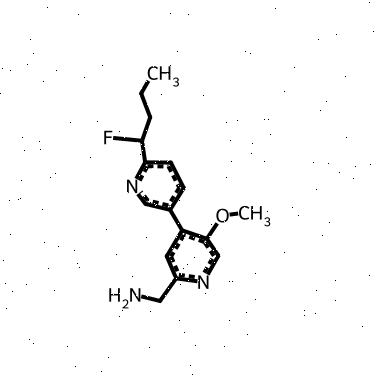 CCCC(F)c1ccc(-c2cc(CN)ncc2OC)cn1